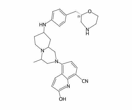 CC1CN(c2ccc(C#N)c3nc(O)ccc23)CC2CC(Nc3ccc(C[C@H]4CNCCO4)cc3)CCN12